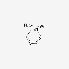 CCCC.c1cnccn1